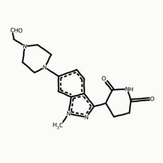 Cn1nc(C2CCC(=O)NC2=O)c2ccc(N3CCN(CC=O)CC3)cc21